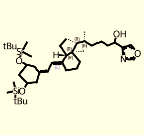 C[C@H](CCCC(O)c1cocn1)[C@H]1CC[C@H]2/C(=C/C=C3CC(O[Si](C)(C)C(C)(C)C)CC(O[Si](C)(C)C(C)(C)C)C3)CCC[C@]12C